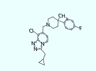 CC1(c2ccc(F)cc2)CCN(Cc2ccn3c(CC4CC4)nnc3c2Cl)CC1